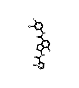 Cn1nccc1C(=O)NC1CCc2c(C(=O)Nc3ccc(F)c(Cl)c3)ccc(F)c21